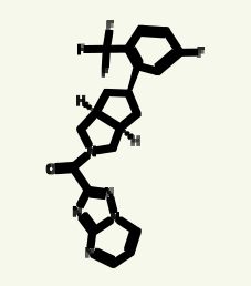 O=C(c1nc2ncccn2n1)N1C[C@H]2C[C@@H](c3cc(F)ccc3C(F)(F)F)C[C@H]2C1